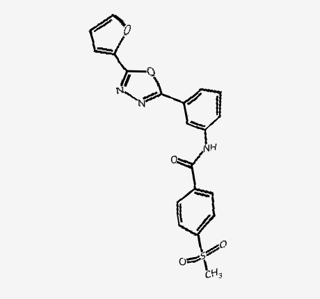 CS(=O)(=O)c1ccc(C(=O)Nc2cccc(-c3nnc(-c4ccco4)o3)c2)cc1